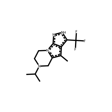 Cc1c2n(c3n[nH]c(C(F)(F)F)c13)CCN(C(C)C)C2